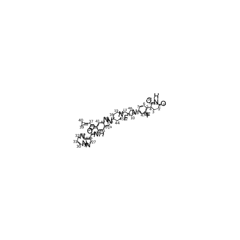 O=C1CCC(c2ccc(N3CC(F)(CN4CCC(n5cc6cc(NC(=O)c7cnn8cccnc78)c(OCC7CC7)cc6n5)CC4)C3)cc2F)C(=O)N1